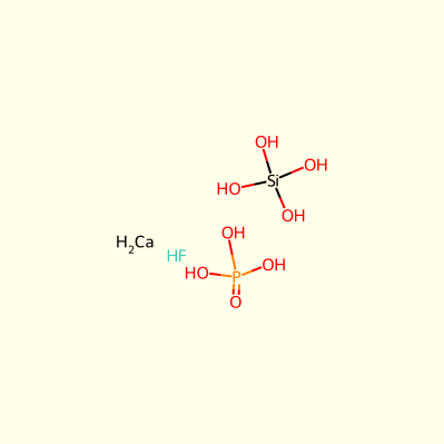 F.O=P(O)(O)O.O[Si](O)(O)O.[CaH2]